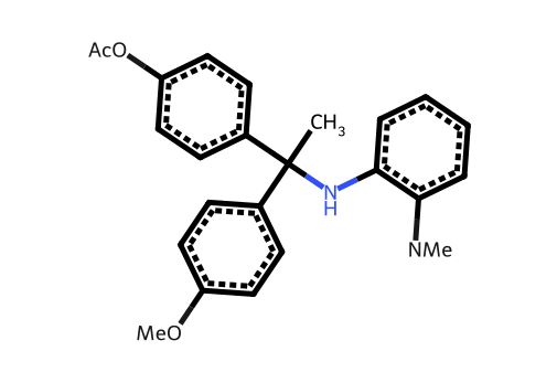 CNc1ccccc1NC(C)(c1ccc(OC)cc1)c1ccc(OC(C)=O)cc1